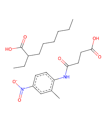 CCCCCCC(CC)C(=O)O.Cc1cc([N+](=O)[O-])ccc1NC(=O)CCC(=O)O